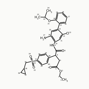 CCOC(=O)CC(C(=O)Nc1cc(Cl)c(-c2ccccc2OC(C)C)cc1N)c1ccc(S(=O)(=O)CC2CC2)cc1